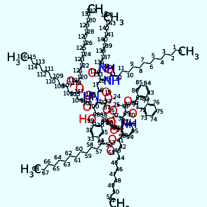 CCCCCCCCCCCCCC(=O)N[C@@H](CC(=O)N[C@H]1[C@H](OC[C@H]2O[C@@H](OCc3ccccc3)[C@H](NC(=O)C[C@@H](CCCCCCCCCCC)OC(=O)CCCCCCCCCCCCC)[C@@H](OCc3ccccc3)[C@@H]2OCc2ccccc2)O[C@H](COCc2ccccc2)[C@@H](O)[C@@H]1OC(=O)C[C@@H](CCCCCCCCCCC)OC(=O)CCCCCCCCCCCCC)C(=O)NCCCCCCCCC